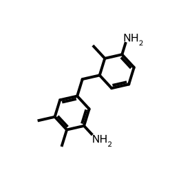 Cc1cc(CC2C=CC=C(N)C2C)cc(N)c1C